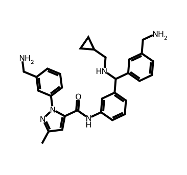 Cc1cc(C(=O)Nc2cccc(C(NCC3CC3)c3cccc(CN)c3)c2)n(-c2cccc(CN)c2)n1